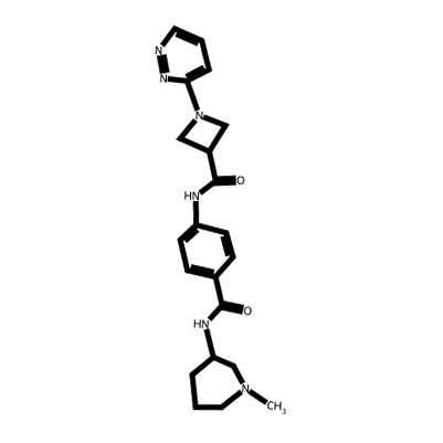 CN1CCCC(NC(=O)c2ccc(NC(=O)C3CN(c4cccnn4)C3)cc2)C1